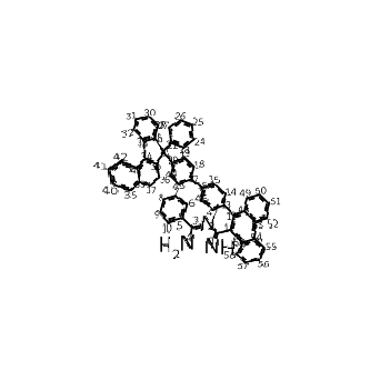 N=C(/N=C(\N)c1ccccc1)c1c(-c2ccc(-c3ccc(C4(c5ccccc5)c5ccccc5-c5c4ccc4ccccc54)cc3)cc2)c2ccccc2c2ccccc12